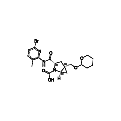 Cc1ccc(Br)nc1NC(=O)[C@@H]1C[C@@]2(COC3CCCCO3)C[C@H]2N1C(=O)O